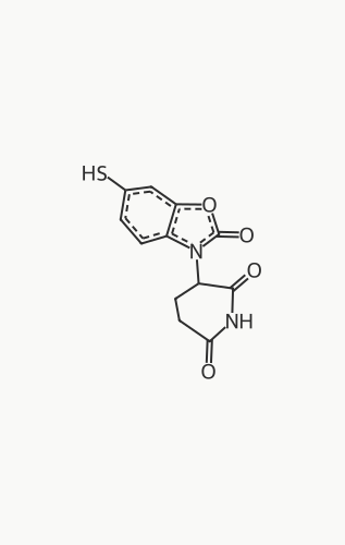 O=C1CCC(n2c(=O)oc3cc(S)ccc32)C(=O)N1